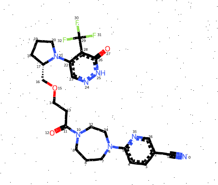 N#Cc1ccc(N2CCCN(C(=O)CCOC[C@@H]3CCCN3c3cn[nH]c(=O)c3C(F)(F)F)CC2)nc1